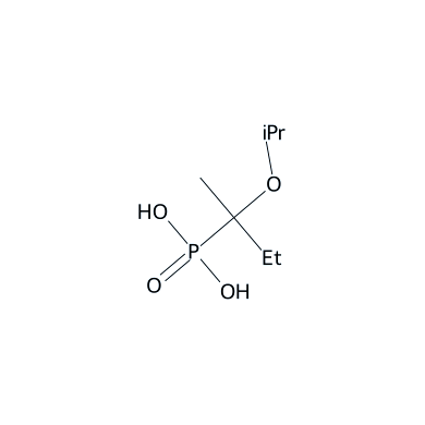 CCC(C)(OC(C)C)P(=O)(O)O